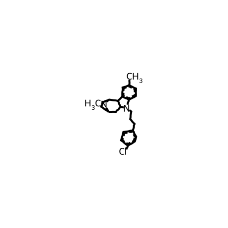 Cc1ccc2c(c1)C1C(CC3CCC1N3C)N2CCCc1ccc(Cl)cc1